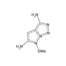 COn1c(N)cc2c(N)nnn21